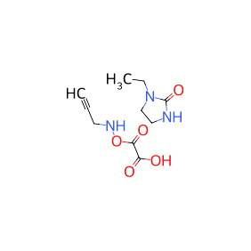 C#CCNOC(=O)C(=O)O.CCN1CCNC1=O